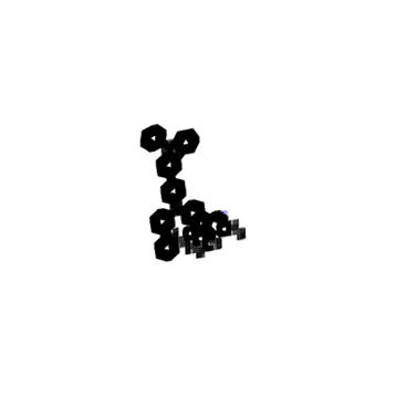 C=CC1=C(/C=C\C)c2ccc(N(c3ccc(-c4ccc5c(c4)c4ccccc4n5-c4ccccc4)cc3)c3cccc(-c4ccccc4)c3)cc2C1(C)C